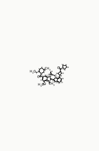 CC[C@H]1CC[C@@H](C)CN1C(=O)c1cc(OC)c2c(c1)nc(-c1cc3cccc(C4CC(C(=O)N5CCCC5)C4)c3n1CC1CC1)n2C